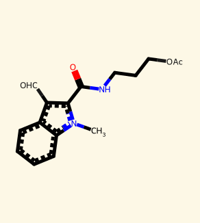 CC(=O)OCCCNC(=O)c1c(C=O)c2ccccc2n1C